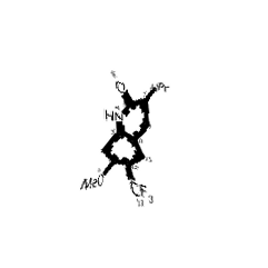 COc1cc2[nH]c(=O)c(C(C)C)cc2cc1C(F)(F)F